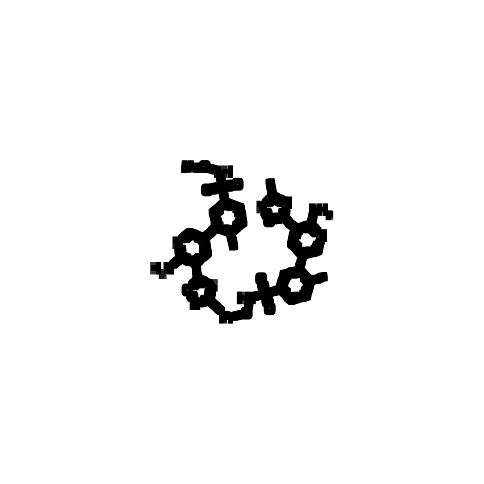 CONS(=O)(=O)c1ccc(C)c(-c2cnc(N)c(-c3nc(C)no3)c2)c1.Cc1noc(-c2cc(-c3cc(S(=O)(=O)NOC(C)C)ccc3C)cnc2N)n1